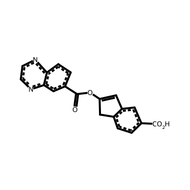 O=C(O)c1ccc2c(c1)C=C(OC(=O)c1ccc3nccnc3c1)C2